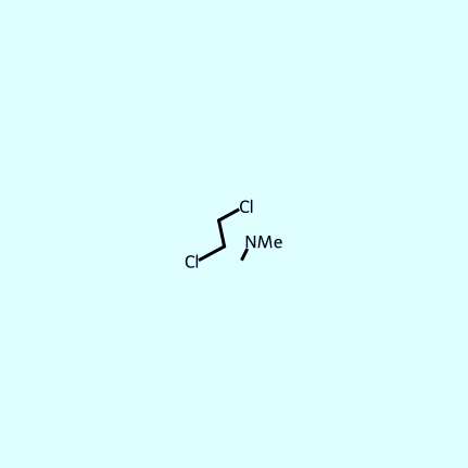 CNC.ClCCCl